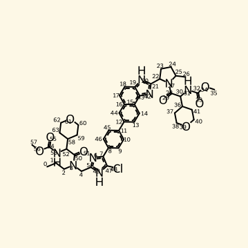 CCCN(Cc1nc(-c2ccc(-c3ccc4c(ccc5[nH]c(C6CCC(C)N6C(=O)C(NC(=O)OC)C6CCOCC6)nc54)c3)cc2)c(Cl)[nH]1)C(=O)C(NC(=O)OC)C1CCOCC1